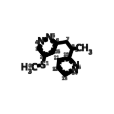 CSc1cnnc(CC(C)c2cccnn2)c1